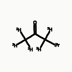 [2H]C([2H])([2H])C(=O)C([2H])([2H])C(C)C